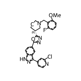 COc1cccc(F)c1CN1CCC[C@@H](c2nnc(-c3ccc4[nH]nc(-c5ccnc(Cl)c5)c4c3)o2)C1